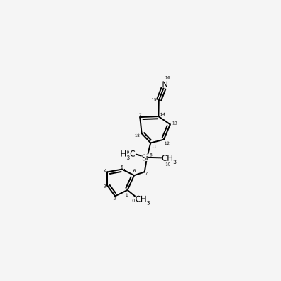 Cc1ccc[c]c1C[Si](C)(C)c1ccc(C#N)cc1